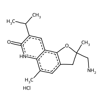 Cc1cc2c(c3cc(C(C)C)c(=O)[nH]c13)OC(C)(CN)C2.Cl